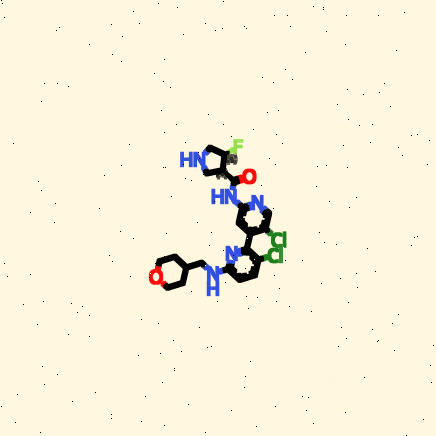 O=C(Nc1cc(-c2nc(NCC3CCOCC3)ccc2Cl)c(Cl)cn1)[C@H]1CNC[C@H]1F